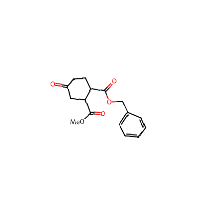 COC(=O)C1CC(=O)CCC1C(=O)OCc1ccccc1